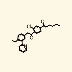 CCCCCC(=O)c1ccc(C(=O)Cc2ccc(CC)c(-c3ccccn3)c2)c(Cl)c1